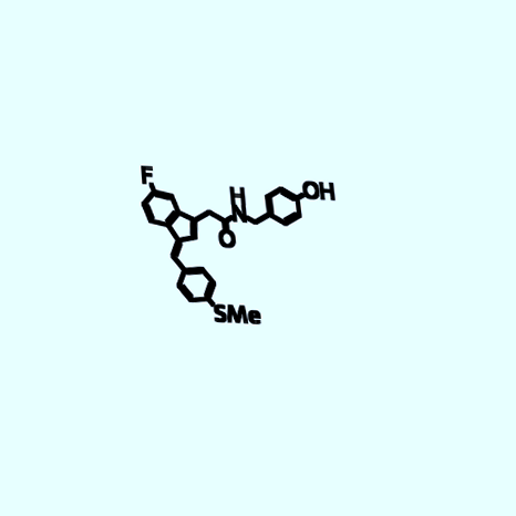 CSc1ccc(/C=C2\C=C(CC(=O)NCc3ccc(O)cc3)c3cc(F)ccc32)cc1